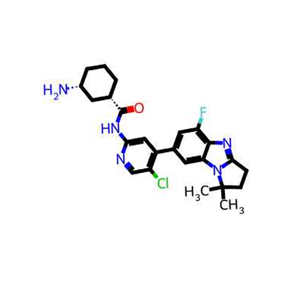 CC1(C)CCc2nc3c(F)cc(-c4cc(NC(=O)[C@H]5CCC[C@@H](N)C5)ncc4Cl)cc3n21